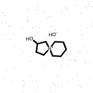 OC1CC[N+]2(CCCCC2)C1.[OH-]